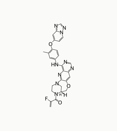 C=C(F)C(=O)N1CCN2C[C@@H]1COc1cc3ncnc(Nc4ccc(Oc5ccn6ncnc6c5)c(C)c4)c3nc12